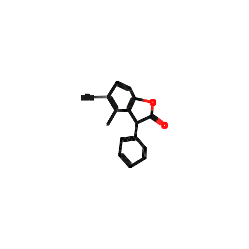 CCCCc1ccc2c(c1C)C(c1ccccc1)C(=O)O2